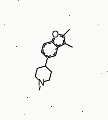 Cc1oc2ccc(C3CCN(C)CC3)cc2c1C